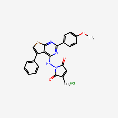 COc1ccc(-c2nc(NN3C(=O)C=C(C)C3=O)c3c(-c4ccccc4)csc3n2)cc1.Cl